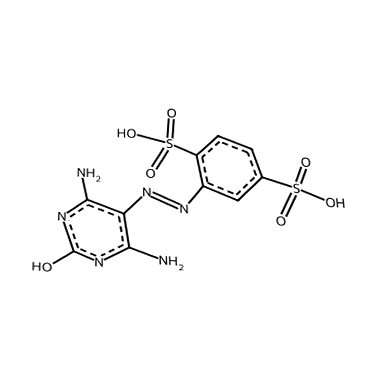 Nc1nc(O)nc(N)c1/N=N/c1cc(S(=O)(=O)O)ccc1S(=O)(=O)O